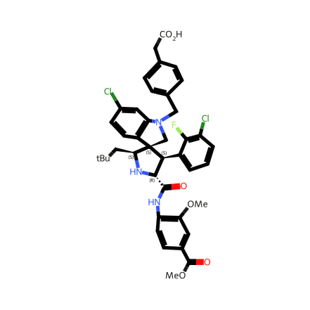 COC(=O)c1ccc(NC(=O)[C@@H]2N[C@@H](CC(C)(C)C)[C@@]3(CN(Cc4ccc(CC(=O)O)cc4)c4cc(Cl)ccc43)[C@H]2c2cccc(Cl)c2F)c(OC)c1